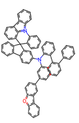 c1ccc(-c2ccccc2-c2ccccc2N(c2cccc(-c3ccc4oc5ccccc5c4c3)c2)c2ccc3c(c2)C2(c4ccccc4-3)c3ccccc3-n3c4ccccc4c4cccc2c43)cc1